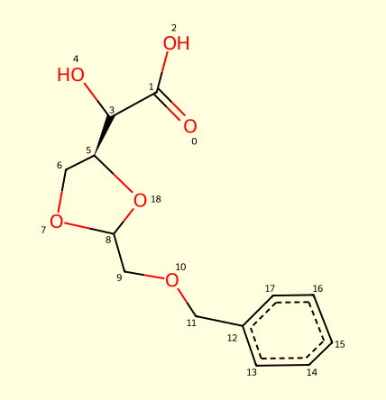 O=C(O)C(O)[C@@H]1COC(COCc2ccccc2)O1